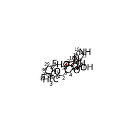 CC(Cc1ccc(C2=C(C(=O)O)[C@H]3CNCC(C2)N3C(=O)CO)cc1)Oc1c(F)ccc(F)c1F